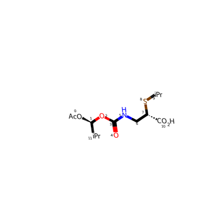 CC(=O)O[C@@H](OC(=O)NC[C@H](SC(C)C)C(=O)O)C(C)C